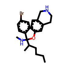 CCCCC(C)C(NC)(Oc1ccc2c(c1)CCNC2)c1ccc(Br)cc1